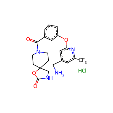 Cl.NCc1cc(Oc2cccc(C(=O)N3CCC4(CC3)CNC(=O)O4)c2)nc(C(F)(F)F)c1